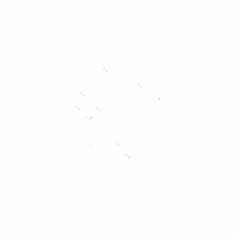 COc1cc(-c2nc3c(-c4ccc(O[C@H]5CCN(C(=O)CO)CC5(F)F)c(C#N)c4)ncnc3[nH]2)ccc1N1CCN(C2COC2)CC1